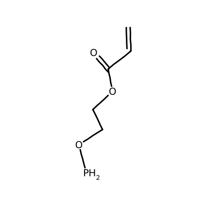 C=CC(=O)OCCOP